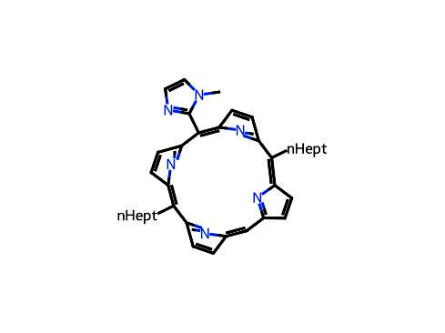 CCCCCCCC1=C2C=CC(=N2)C=C2C=CC(=N2)C(CCCCCCC)=C2C=CC(=N2)C(c2nccn2C)=C2C=CC1=N2